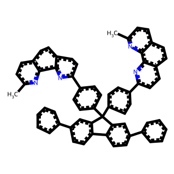 Cc1ccc2ccc3ccc(-c4ccc(C5(c6ccc(-c7ccc8ccc9ccc(C)nc9c8n7)cc6)c6cc(-c7ccccc7)ccc6-c6ccc(-c7ccccc7)cc65)cc4)nc3c2n1